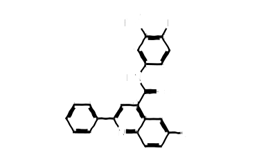 Cc1ccc2nc(-c3ccccc3)cc(C(=O)Nc3ccc(F)c(C(F)(F)F)c3)c2c1